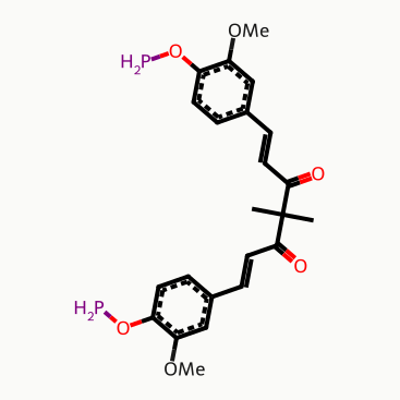 COc1cc(/C=C/C(=O)C(C)(C)C(=O)/C=C/c2ccc(OP)c(OC)c2)ccc1OP